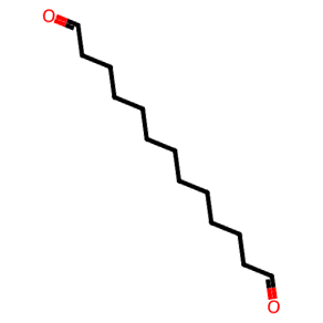 O=CCCCCCCCCCCCC=O